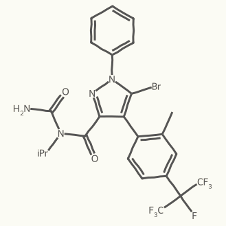 Cc1cc(C(F)(C(F)(F)F)C(F)(F)F)ccc1-c1c(C(=O)N(C(N)=O)C(C)C)nn(-c2ccccc2)c1Br